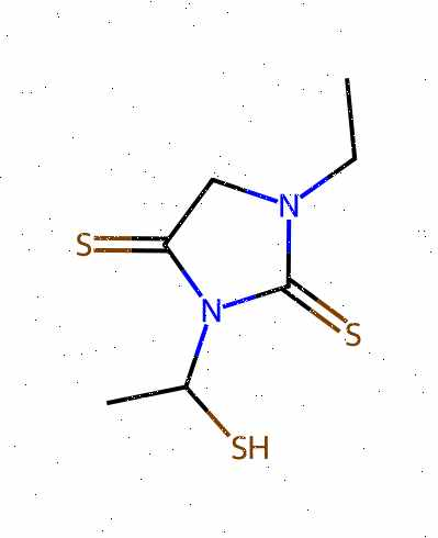 CCN1CC(=S)N(C(C)S)C1=S